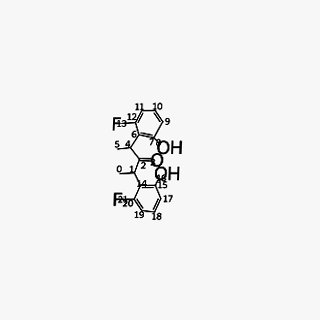 CC(C(=O)C(C)c1c(O)cccc1F)c1c(O)cccc1F